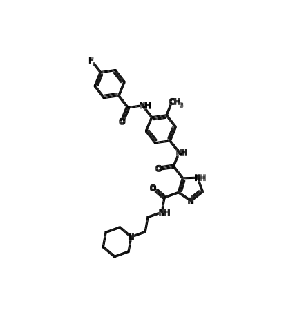 Cc1cc(NC(=O)c2[nH]cnc2C(=O)NCCN2CCCCC2)ccc1NC(=O)c1ccc(F)cc1